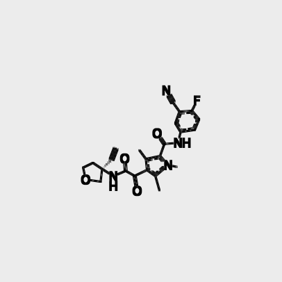 C#C[C@@]1(NC(=O)C(=O)c2c(C)c(C(=O)Nc3ccc(F)c(C#N)c3)n(C)c2C)CCOC1